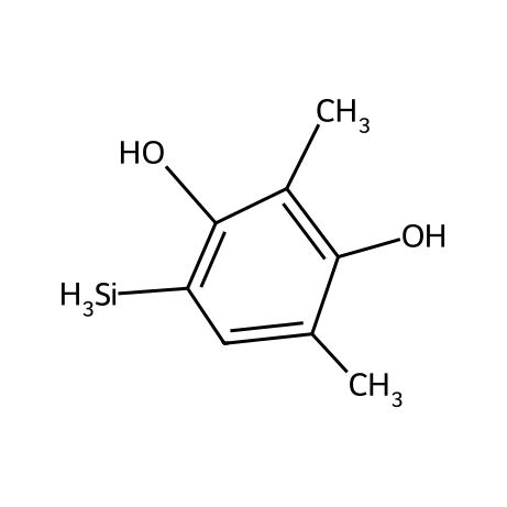 Cc1cc([SiH3])c(O)c(C)c1O